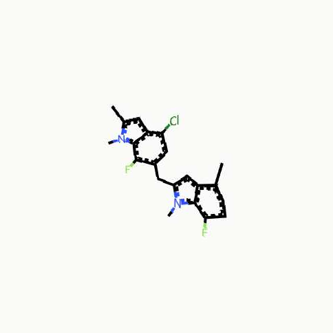 Cc1ccc(F)c2c1cc(Cc1cc(Cl)c3cc(C)n(C)c3c1F)n2C